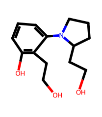 OCCc1c(O)cccc1N1CCCC1CCO